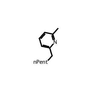 CCCCCCc1cccc(C)n1